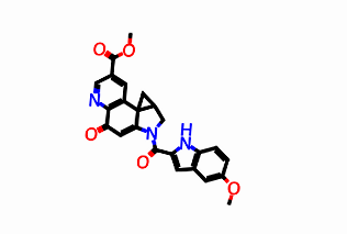 COC(=O)c1cnc2c(c1)C13CC1CN(C(=O)c1cc4cc(OC)ccc4[nH]1)C3=CC2=O